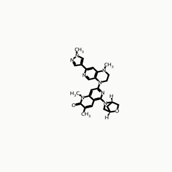 Cc1cc2c(N3C[C@@H]4C[C@H]3CO4)nc(N3CCN(C)c4cc(-c5cnn(C)c5)ncc43)cc2n(C)c1=O